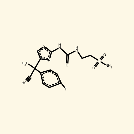 C#CC(C)(c1ccc(F)cc1)c1csc(NC(=O)NCCS(N)(=O)=O)n1